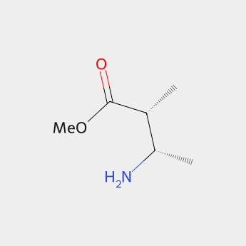 COC(=O)[C@H](C)[C@H](C)N